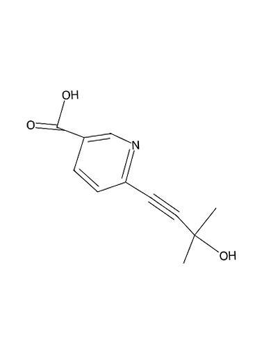 CC(C)(O)C#Cc1ccc(C(=O)O)cn1